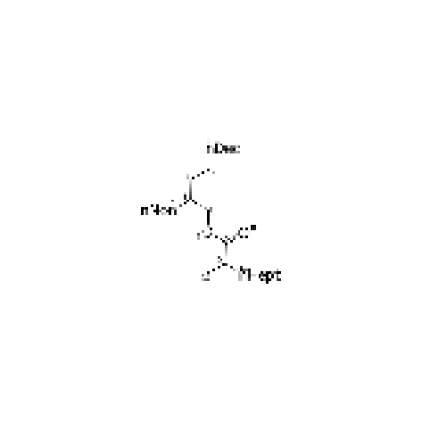 CCCCCCCCCCCCC(CCCCCCCCC)COC(=O)C(C)CCCCCCC